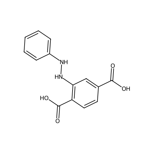 O=C(O)c1ccc(C(=O)O)c(NNc2ccccc2)c1